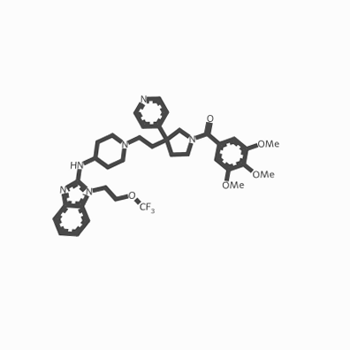 COc1cc(C(=O)N2CCC(CCN3CCC(Nc4nc5ccccc5n4CCOC(F)(F)F)CC3)(c3ccncc3)C2)cc(OC)c1OC